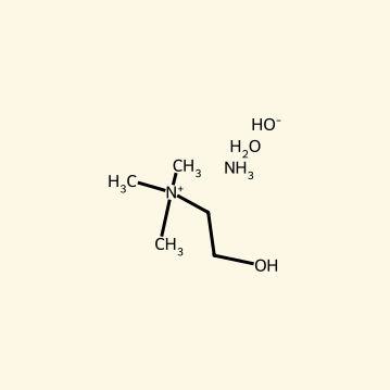 C[N+](C)(C)CCO.N.O.[OH-]